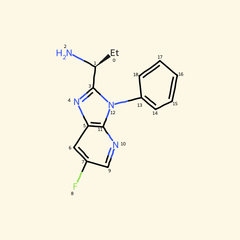 CC[C@H](N)c1nc2cc(F)cnc2n1-c1ccccc1